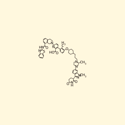 Cc1c(OC2CCC(CCCN3CCN(c4ccc5c(C6CCC(=O)NC6=O)nn(C)c5c4)CC3C)CC2)cccc1-c1ccc(N2CCc3cccc(C(=O)Nc4nc5ccccc5s4)c3C2)nc1C(=O)O